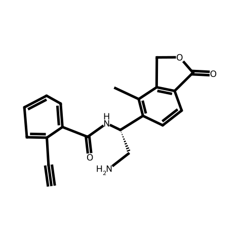 C#Cc1ccccc1C(=O)N[C@@H](CN)c1ccc2c(c1C)COC2=O